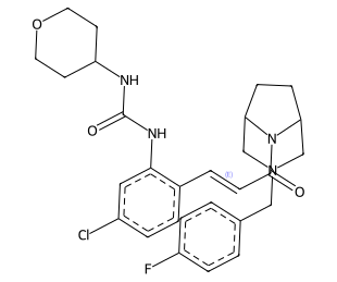 O=C(Nc1cc(Cl)ccc1/C=C/C(=O)N1C2CCC1CN(Cc1ccc(F)cc1)C2)NC1CCOCC1